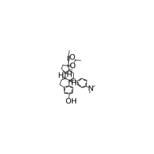 CC#C[C@]1(OC(C)=O)CC[C@H]2[C@@H]3CCc4cc(O)ccc4[C@H]3[C@@H](c3ccc(N(C)C)cc3)C[C@@]21C